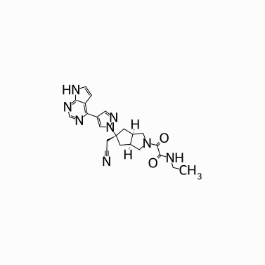 CCNC(=O)C(=O)N1C[C@@H]2C[C@@](CC#N)(n3cc(-c4ncnc5[nH]ccc45)cn3)C[C@@H]2C1